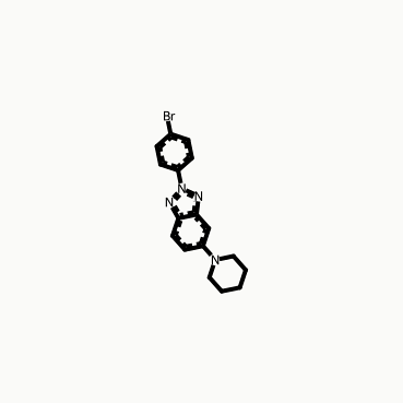 Brc1ccc(-n2nc3ccc(N4CCCCC4)cc3n2)cc1